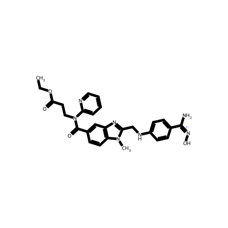 CCOC(=O)CCN(C(=O)c1ccc2c(c1)nc(CNc1ccc(/C(N)=N\O)cc1)n2C)c1ccccn1